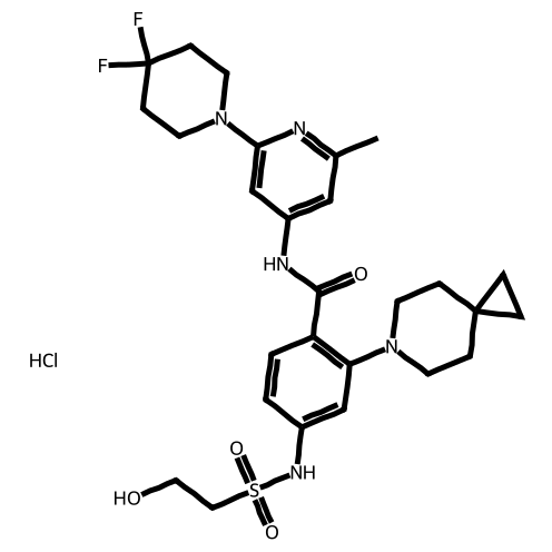 Cc1cc(NC(=O)c2ccc(NS(=O)(=O)CCO)cc2N2CCC3(CC2)CC3)cc(N2CCC(F)(F)CC2)n1.Cl